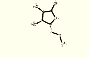 COC[C@H]1OC(O)[C@H](O)[C@@H]1O